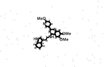 COc1ccc(-c2nc(NCCc3c[nH]c4ccccc34)c3cc(OC)c(OC)cc3n2)cn1